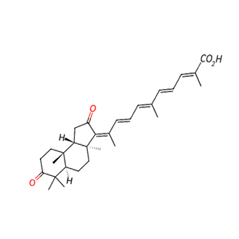 CC(/C=C/C=C(C)/C=C/C=C(\C)C(=O)O)=C1/C(=O)C[C@H]2[C@@]3(C)CCC(=O)C(C)(C)[C@@H]3CC[C@]12C